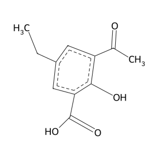 CCc1cc(C(C)=O)c(O)c(C(=O)O)c1